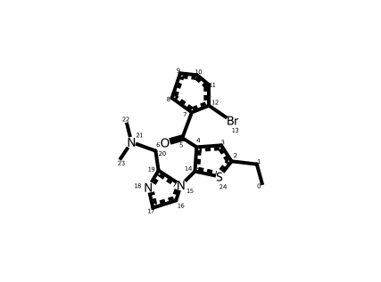 CCc1cc(C(=O)c2ccccc2Br)c(-n2ccnc2CN(C)C)s1